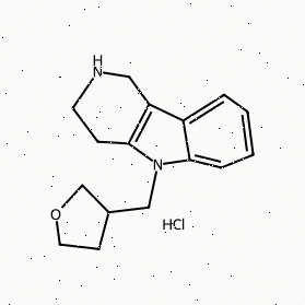 Cl.c1ccc2c(c1)c1c(n2CC2CCOC2)CCNC1